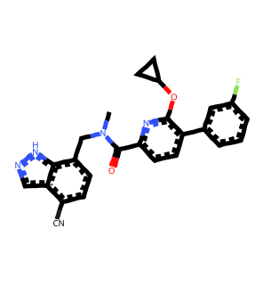 CN(Cc1ccc(C#N)c2cn[nH]c12)C(=O)c1ccc(-c2cccc(F)c2)c(OC2CC2)n1